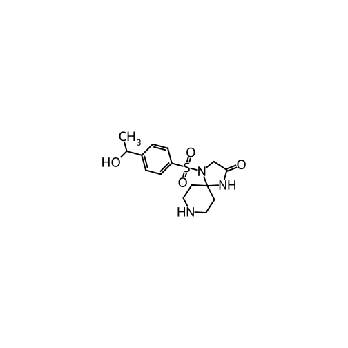 CC(O)c1ccc(S(=O)(=O)N2CC(=O)NC23CCNCC3)cc1